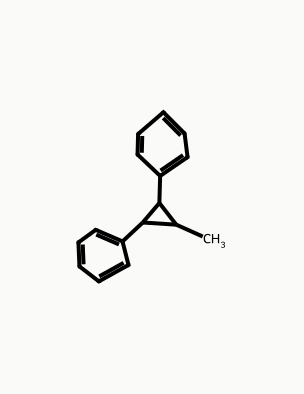 CC1C(c2ccccc2)C1c1ccccc1